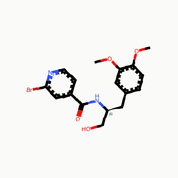 COc1ccc(C[C@@H](CO)NC(=O)c2ccnc(Br)c2)cc1OC